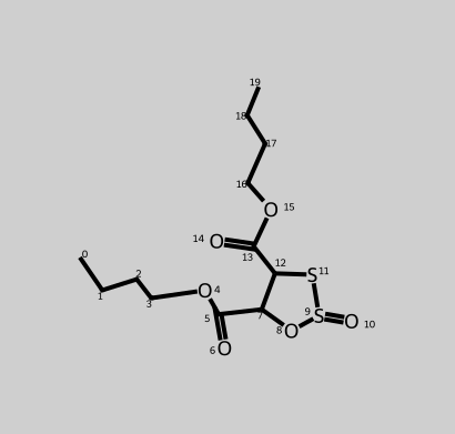 CCCCOC(=O)C1OS(=O)SC1C(=O)OCCCC